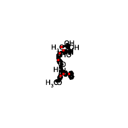 CCCc1cc(-c2nnc(O)n2-c2ccc(CN3CCN(CC4CCN(C(=O)CCNc5nc6c(c(N7CCN(C(=O)CC)CC7)n5)CCN(c5cccc7ccccc57)C6)CC4)CC3)cc2)c(O)cc1O